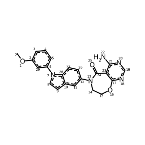 COc1cccc(-n2ccc3cc(N4CCOc5ncnc(N)c5C4=O)ccc32)c1